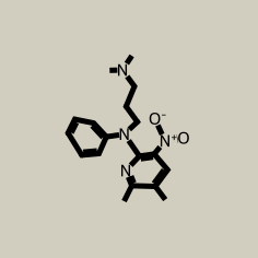 Cc1cc([N+](=O)[O-])c(N(CCCN(C)C)c2ccccc2)nc1C